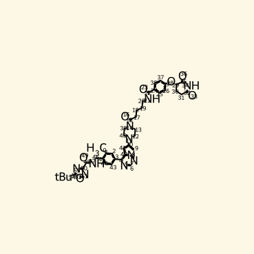 Cc1cc(-c2ncnn3cc(N4CCN(C(=O)CCCCNC(=O)c5ccc(OC6CCC(=O)NC6=O)cc5)CC4)cc23)ccc1CNC(=O)c1noc(C(C)(C)C)n1